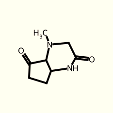 CN1CC(=O)NC2CCC(=O)C21